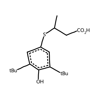 CC(CC(=O)O)Sc1cc(C(C)(C)C)c(O)c(C(C)(C)C)c1